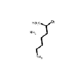 CCC(CCCCN)C(=O)O.N